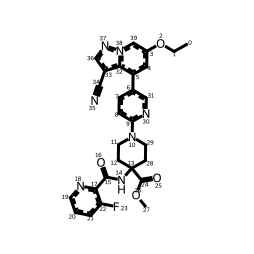 CCOc1cc(-c2ccc(N3CCC(NC(=O)c4ncccc4F)(C(=O)OC)CC3)nc2)c2c(C#N)cnn2c1